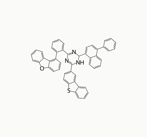 c1ccc(-c2ccc(C3N=C(c4ccccc4-c4cccc5oc6ccccc6c45)N=C(c4ccc5sc6ccccc6c5c4)N3)c3ccccc23)cc1